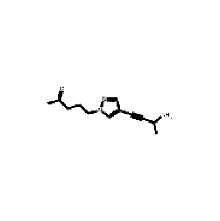 CC(=O)CCCn1cc(C#CC(C)N)cn1